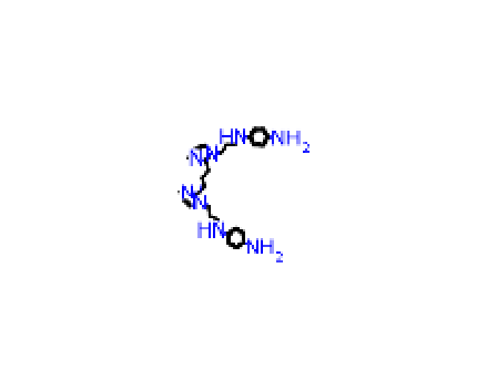 Nc1ccc(NCCCN2C=C[N+]=C2CCCC2=[N+]C=CN2CCCNc2ccc(N)cc2)cc1